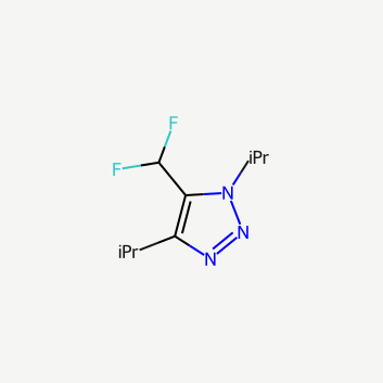 CC(C)c1nnn(C(C)C)c1C(F)F